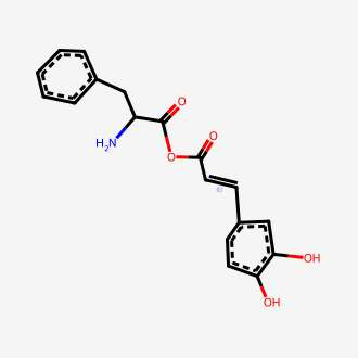 NC(Cc1ccccc1)C(=O)OC(=O)/C=C/c1ccc(O)c(O)c1